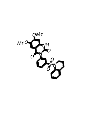 COc1cc2[nH]c(=O)n(-c3cccc(S(=O)(=O)N4CCCc5ccccc54)c3)c(=O)c2cc1OC